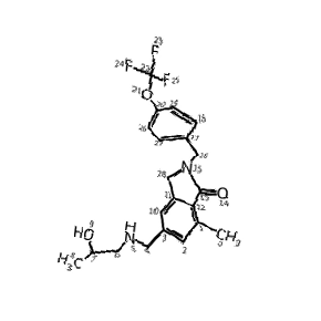 Cc1cc(CNCC(C)O)cc2c1C(=O)N(Cc1ccc(OC(F)(F)F)cc1)C2